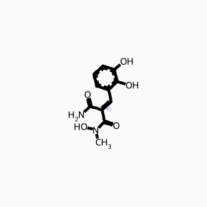 CN(O)C(=O)/C(=C/c1cccc(O)c1O)C(N)=O